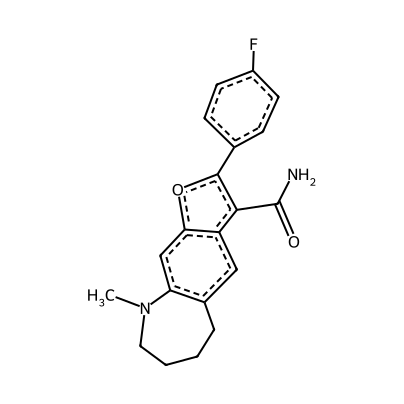 CN1CCCCc2cc3c(C(N)=O)c(-c4ccc(F)cc4)oc3cc21